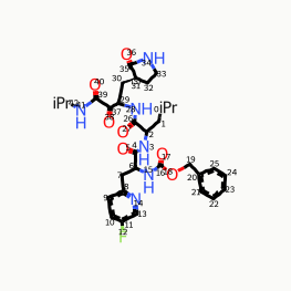 CC(C)CC(NC(=O)C(Cc1ccc(F)cn1)NC(=O)OCc1ccccc1)C(=O)NC(C[C@@H]1CCNC1=O)C(=O)C(=O)NC(C)C